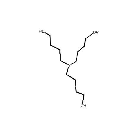 OCCCCN(CCCCO)CCCCO